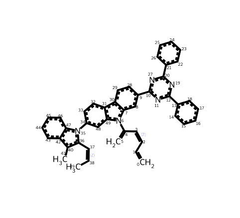 C=C/C=C\C(=C)n1c2cc(-c3nc(-c4ccccc4)nc(-c4ccccc4)n3)ccc2c2ccc(-n3c(/C=C\C)c(C)c4ccccc43)cc21